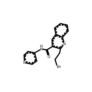 CC(C)CCc1nc2ccccc2cc1C(=O)Nc1ccncc1